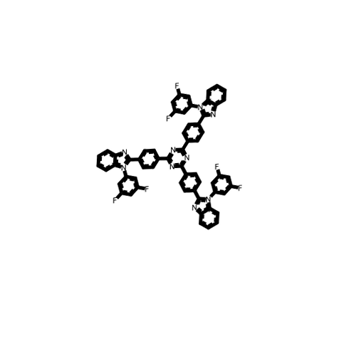 Fc1cc(F)cc(-n2c(-c3ccc(-c4nc(-c5ccc(-c6nc7ccccc7n6-c6cc(F)cc(F)c6)cc5)nc(-c5ccc(-c6nc7ccccc7n6-c6cc(F)cc(F)c6)cc5)n4)cc3)nc3ccccc32)c1